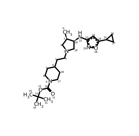 C[C@@H]1CN(CCC2CCN(C(=O)OC(C)(C)C)CC2)C[C@@H]1Nc1cc(C2CC2)on1